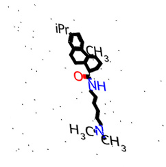 CC(C)c1ccc2c(c1)CCC1[C@@H](C(=O)NCCCCCCN(C)C)CCC[C@@]21C